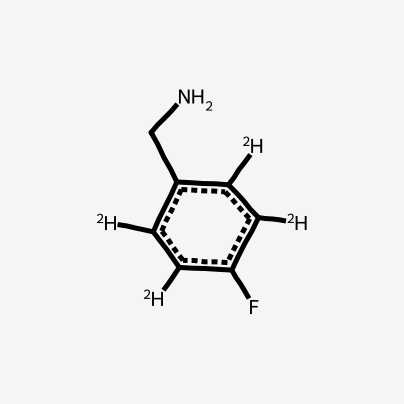 [2H]c1c([2H])c(CN)c([2H])c([2H])c1F